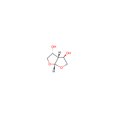 O[C@H]1CO[C@H]2OC[C@H](O)[C@H]21